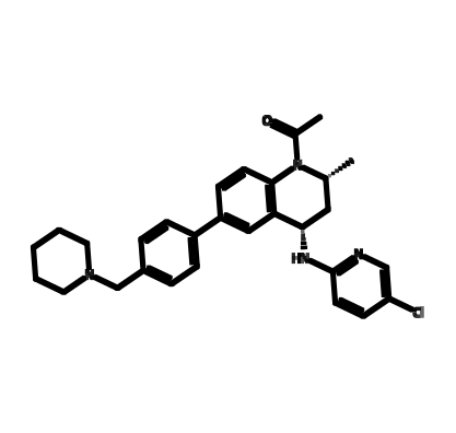 CC(=O)N1c2ccc(-c3ccc(CN4CCCCC4)cc3)cc2[C@@H](Nc2ccc(Cl)cn2)C[C@H]1C